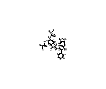 COc1ccc2[nH]c(-c3ccccc3)c(C=C3Oc4cc(OC(=O)N(C)C)cc(OC(=O)N(C)C)c4C3=O)c2c1